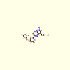 O=C(O)c1c[nH]c2ncc(-c3cc(OC4CCCC4)ccn3)nc12